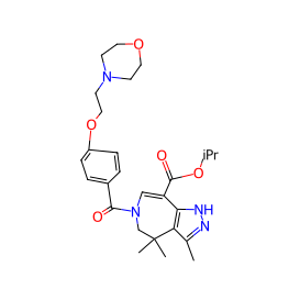 Cc1n[nH]c2c1C(C)(C)CN(C(=O)c1ccc(OCCN3CCOCC3)cc1)C=C2C(=O)OC(C)C